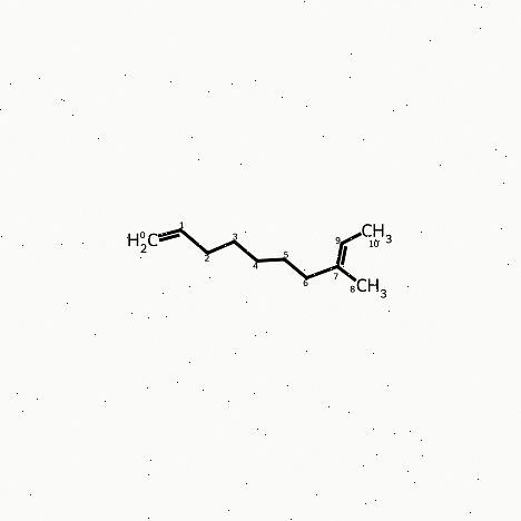 C=CCCCCCC(C)=CC